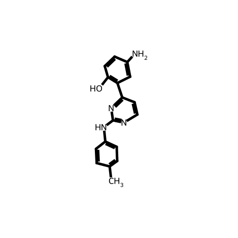 Cc1ccc(Nc2nccc(-c3cc(N)ccc3O)n2)cc1